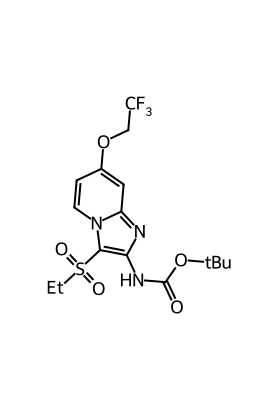 CCS(=O)(=O)c1c(NC(=O)OC(C)(C)C)nc2cc(OCC(F)(F)F)ccn12